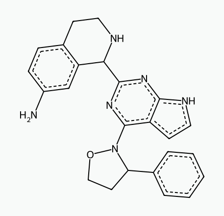 Nc1ccc2c(c1)C(c1nc(N3OCCC3c3ccccc3)c3cc[nH]c3n1)NCC2